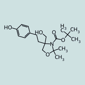 CC(C)(C)OC(=O)N1C(CO)(CCc2ccc(O)cc2)COC1(C)C